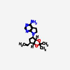 C=C[C@H]1C[C@@H](N2CCc3c(N)ncnc32)[C@@H]2OC(C)(C)O[C@@H]21